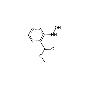 COC(=O)c1ccccc1NO